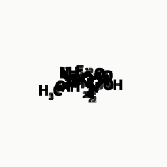 CONC1CN(c2nc3c(cc2F)c(=O)c(C(=O)O)cn3C2CC2)CC1CN